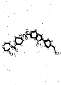 COCc1ccc(-c2cc3ccc(S(=O)(=O)N[C@H]4CC[C@H](C(=O)N5CCOC[C@@H]5C)CC4)cc3n2C)cc1